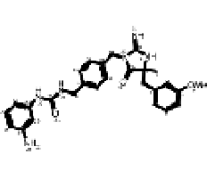 COc1cccc(CC2(C)NC(=N)N(Cc3ccc(CNC(=O)Nc4cccc(N)c4)cc3)C2=O)c1